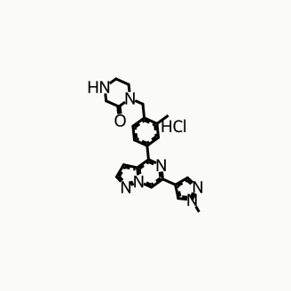 Cc1cc(-c2nc(-c3cnn(C)c3)cn3nccc23)ccc1CN1CCNCC1=O.Cl